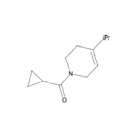 CC(C)C1=CCN(C(=O)C2CC2)CC1